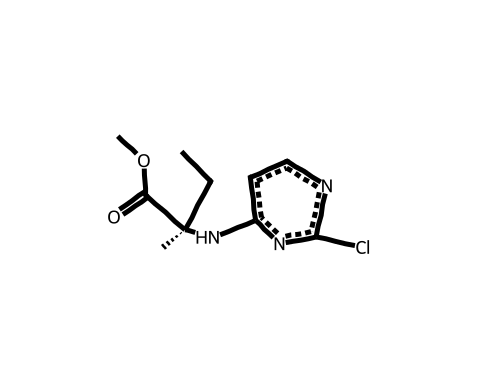 CC[C@@](C)(Nc1ccnc(Cl)n1)C(=O)OC